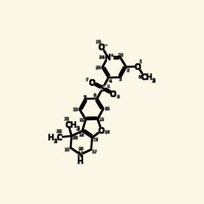 COc1cc(S(=O)(=O)c2ccc3c4c(oc3c2)CNCC4(C)C)c[n+]([O-])c1